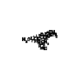 CCCc1ccc(C2=Cc3ccc4c(c3OC2)C=CC(C)(C)O4)c(OCc2ccc(Cl)cc2C)c1